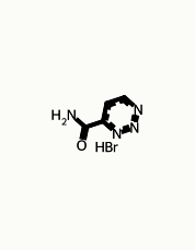 Br.NC(=O)c1ccnnn1